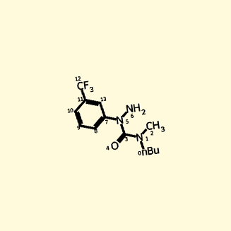 CCCCN(C)C(=O)N(N)c1cccc(C(F)(F)F)c1